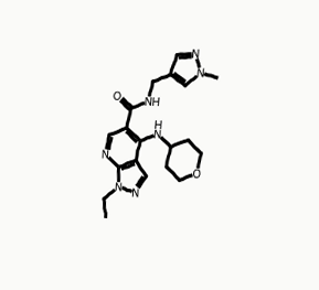 CCn1ncc2c(NC3CCOCC3)c(C(=O)NCc3cnn(C)c3)cnc21